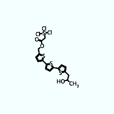 CC(O)Cc1ccc(-c2ccc(-c3ccc(COC(=O)C[Si](Cl)(Cl)Cl)s3)s2)s1